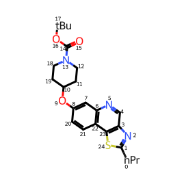 CCCc1nc2cnc3cc(OC4CCN(C(=O)OC(C)(C)C)CC4)ccc3c2s1